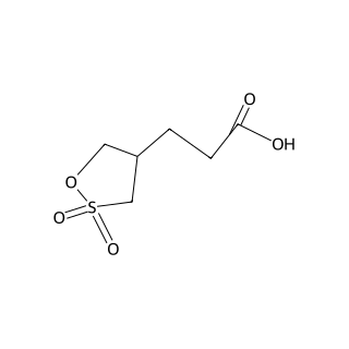 O=C(O)CCC1COS(=O)(=O)C1